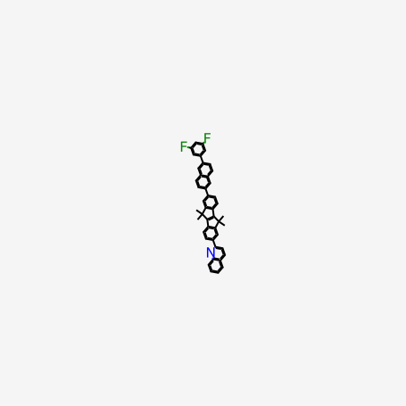 CC1(C)C2=C(c3ccc(-c4ccc5cc(-c6cc(F)cc(F)c6)ccc5c4)cc31)C(C)(C)c1cc(-c3ccc4ccccc4n3)ccc12